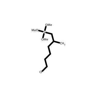 CO[Si](CC(C)CCCCCl)(OC)OC